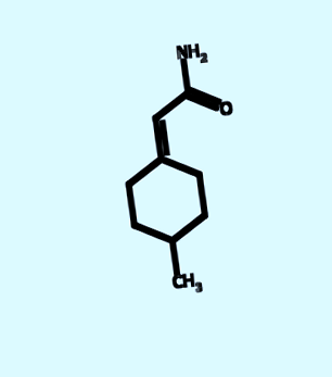 CC1CCC(=CC(N)=O)CC1